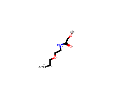 CCOCC(=O)NCCOCCNC(C)=O